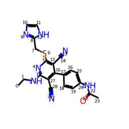 CCNc1nc(SCc2ncc[nH]2)c(C#N)c(-c2ccc(NC(C)=O)cc2)c1C#N